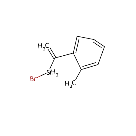 C=C([SiH2]Br)c1ccccc1C